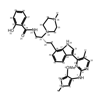 COc1nn(C)cc1Nc1ncc(C)c(-c2c[nH]c3c(CC[C@H](CNC(=O)c4ccccc4O)N4CCN(C)CC4)cccc23)n1